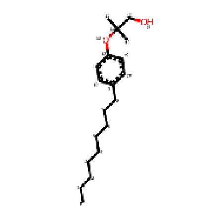 CCCCCCCCCc1ccc(OC(C)(C)CO)cc1